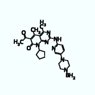 BN1CCN(c2ccc(Nc3nc(C)c4c(C)c(C(C)=O)c(=O)n(C5CCCC5)c4n3)nc2)CC1